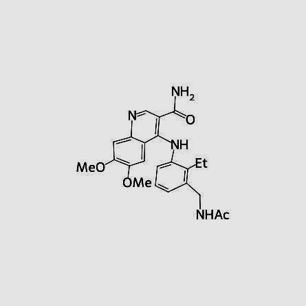 CCc1c(CNC(C)=O)cccc1Nc1c(C(N)=O)cnc2cc(OC)c(OC)cc12